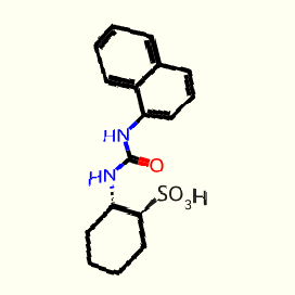 O=C(Nc1cccc2ccccc12)N[C@H]1CCCC[C@@H]1S(=O)(=O)O